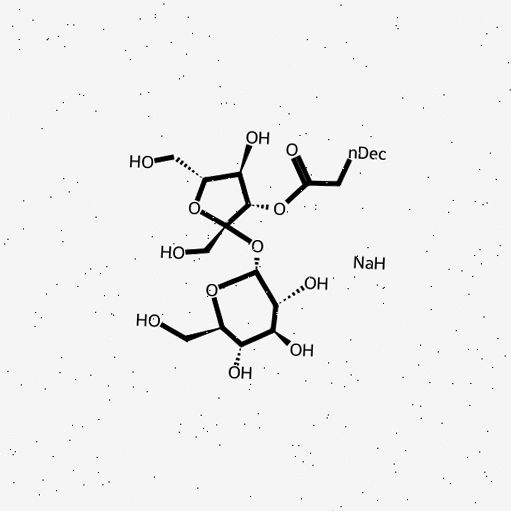 CCCCCCCCCCCC(=O)O[C@H]1[C@H](O)[C@@H](CO)O[C@@]1(CO)O[C@H]1O[C@H](CO)[C@@H](O)[C@H](O)[C@H]1O.[NaH]